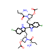 CC[C@H](N)C(=O)N1CC(OC(C)=O)C[C@H]1Cc1c(-c2[nH]c3cc(F)ccc3c2C[C@@H]2C[C@H](OC(C)=O)CN2C(=O)[C@@H](N)CC)[nH]c2cc(F)ccc12